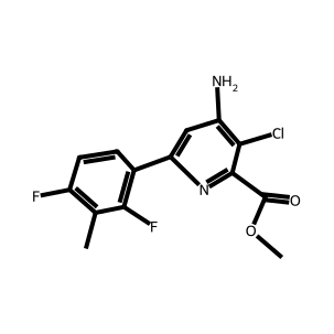 COC(=O)c1nc(-c2ccc(F)c(C)c2F)cc(N)c1Cl